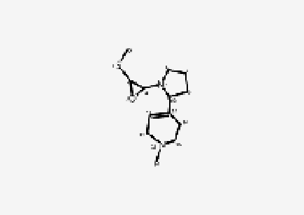 CSC1OC1N1CCC[C@H]1C1=CCN(C)CC1